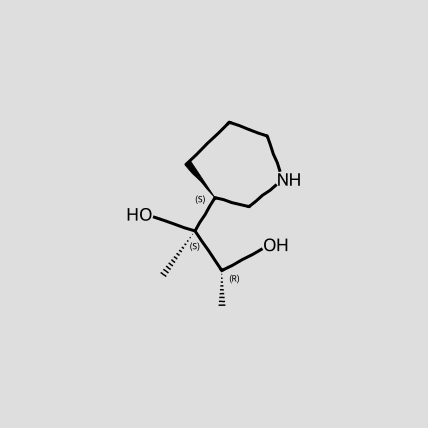 C[C@@H](O)[C@@](C)(O)[C@H]1CCCNC1